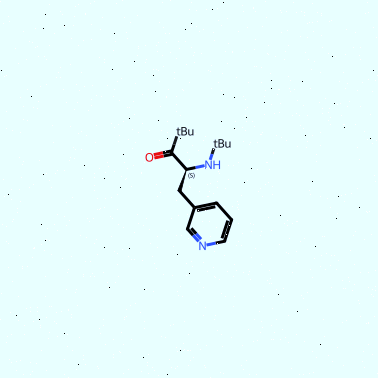 CC(C)(C)N[C@@H](Cc1cccnc1)C(=O)C(C)(C)C